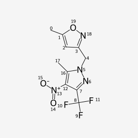 Cc1cc(Cn2nc(C(F)(F)F)c([N+](=O)[O-])c2C)no1